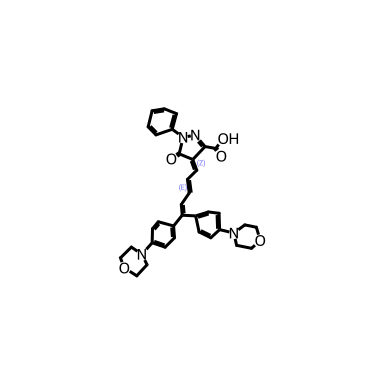 O=C(O)C1=NN(c2ccccc2)C(=O)/C1=C\C=C\C=C(c1ccc(N2CCOCC2)cc1)c1ccc(N2CCOCC2)cc1